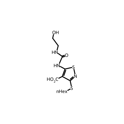 CCCCCCSc1nsc(NC(=O)NCCO)c1C(=O)O